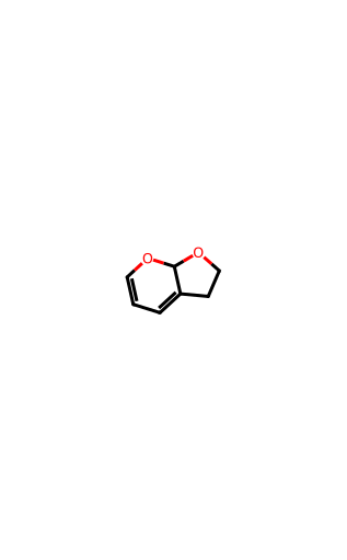 C1=COC2OCCC2=C1